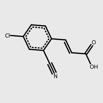 N#Cc1cc(Cl)ccc1/C=C/C(=O)O